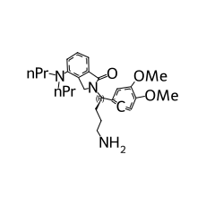 CCCN(CCC)c1cccc2c1CN([C@H](CCCN)c1ccc(OC)c(OC)c1)C2=O